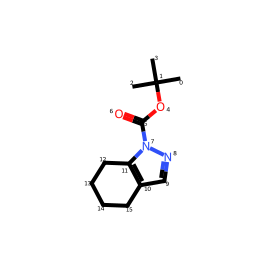 CC(C)(C)OC(=O)n1ncc2c1CCCC2